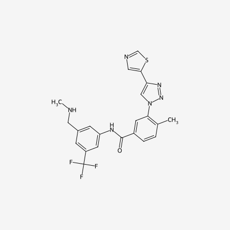 CNCc1cc(NC(=O)c2ccc(C)c(-n3cc(-c4cncs4)nn3)c2)cc(C(F)(F)F)c1